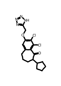 O=C1c2c(cc(OCc3nnn[nH]3)c(Cl)c2Cl)CCCC1C1CCCC1